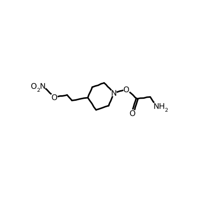 NCC(=O)ON1CCC(CCO[N+](=O)[O-])CC1